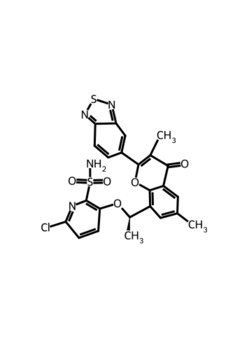 Cc1cc([C@@H](C)Oc2ccc(Cl)nc2S(N)(=O)=O)c2oc(-c3ccc4nsnc4c3)c(C)c(=O)c2c1